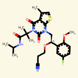 COc1ccc(F)cc1[C@H](Cn1c(=O)n(C(C)(C)C(=O)NC(C)C)c(=O)c2c(C)csc21)OCCC#N